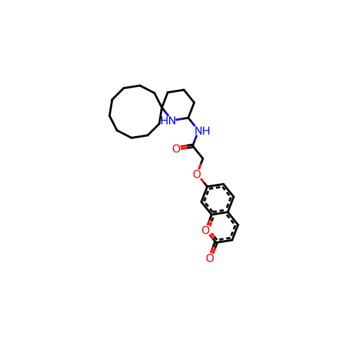 O=C(COc1ccc2ccc(=O)oc2c1)NC1CCCC2(CCCCCCCCC2)N1